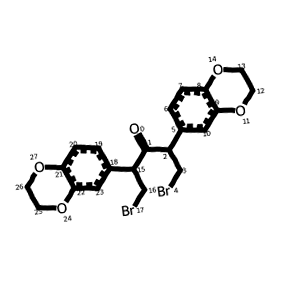 O=C(C(CBr)c1ccc2c(c1)OCCO2)C(CBr)c1ccc2c(c1)OCCO2